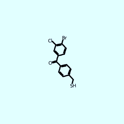 O=C(c1ccc(CS)cc1)c1ccc(Br)c(Cl)c1